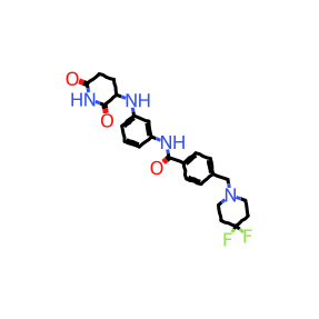 O=C1CCC(Nc2cccc(NC(=O)c3ccc(CN4CCC(F)(F)CC4)cc3)c2)C(=O)N1